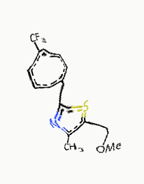 COCc1sc(-c2ccc(C(F)(F)F)cc2)nc1C